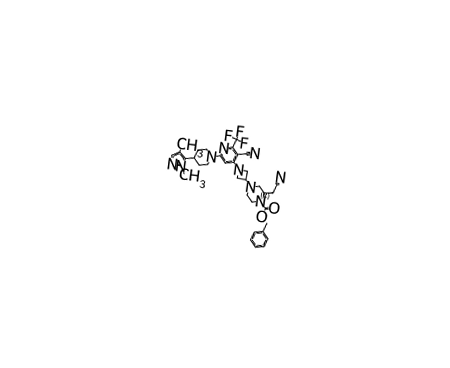 Cc1cnn(C)c1C1CCN(c2cc(N3CC(N4CCN(C(=O)OCc5ccccc5)[C@H](CC#N)C4)C3)c(C#N)c(C(F)(F)F)n2)CC1